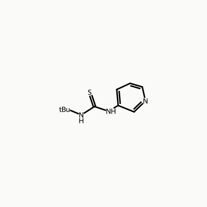 CC(C)(C)NC(=S)Nc1cccnc1